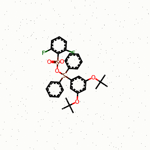 CC(C)(C)Oc1cc(OC(C)(C)C)cc(S(OS(=O)(=O)c2c(F)cccc2F)(c2ccccc2)c2ccccc2)c1